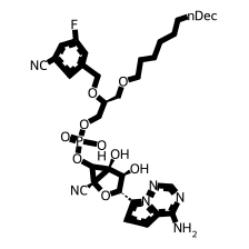 CCCCCCCCCCCCCCCCOC[C@@H](COP(=O)(O)OC1[C@@]2(C#N)O[C@@H](c3ccc4c(N)ncnn34)[C@H](O)[C@@]12O)OCc1cc(F)cc(C#N)c1